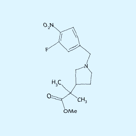 COC(=O)C(C)(C)C1CCN(Cc2ccc([N+](=O)[O-])c(F)c2)C1